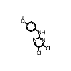 COc1ccc(Nc2ncc(Cl)c(Cl)n2)cc1